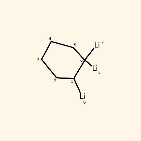 [Li][CH]1CCCC[C]1([Li])[Li]